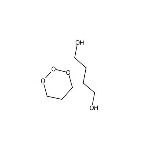 C1COOOC1.OCCCCO